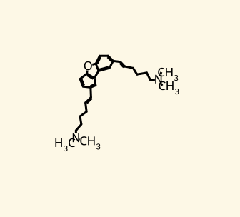 CN(C)CCCCC=Cc1ccc2oc3ccc(C=CCCCCN(C)C)cc3c2c1